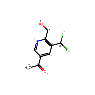 CC(=O)c1cnc(CO)c(C(F)F)c1